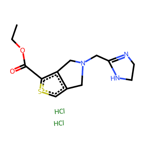 CCOC(=O)c1scc2c1CN(CC1=NCCN1)C2.Cl.Cl